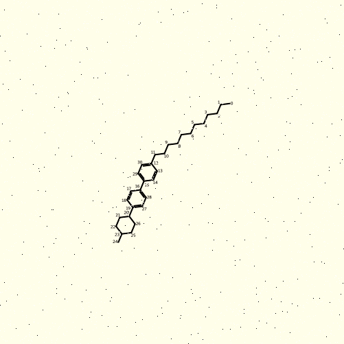 CCCCCCCCCCCCc1ccc(-c2ccc(C3CCC(C)CC3)cc2)cc1